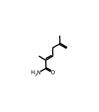 C=C(C)C/C=C(\C)C(N)=O